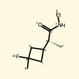 CCNC(=O)[C@H](C)C1CC(C)(F)C1